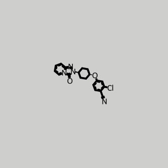 N#Cc1ccc(O[C@H]2CC[C@H](n3nc4ccccn4c3=O)CC2)cc1Cl